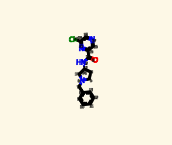 O=C(N[C@@H]1CCN(Cc2ccccc2)C1)c1cncc(Cl)n1